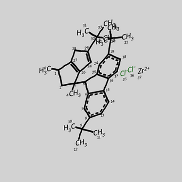 CC1CC(C)(C2c3cc(C(C)(C)C)ccc3-c3ccc(C(C)(C)C)cc32)C2=C1CC(C(C)(C)C)=C2.[Cl-].[Cl-].[Zr+2]